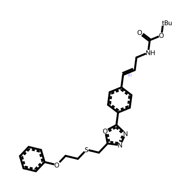 CC(C)(C)OC(=O)NC/C=C/c1ccc(-c2nnc(CSCCOc3ccccc3)o2)cc1